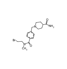 CN(CCBr)C(=O)c1ccc(CN2CCC(C(N)=O)CC2)cc1